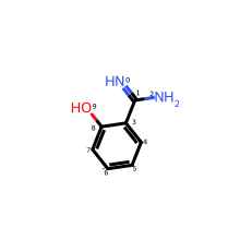 N=C(N)c1cc[c]cc1O